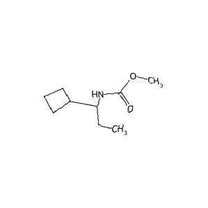 CCC(NC(=O)OC)C1CCC1